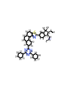 C=CC1=C(/C=C\C)c2ccc(-c3nc4c(ccc5ccc6cc(-c7nc(-c8ccccc8)nc(-c8ccccc8)n7)ccc6c54)s3)cc2C1(C)C